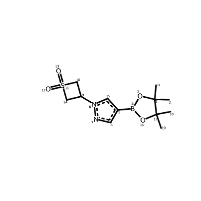 CC1(C)OB(c2cnn(C3CS(=O)(=O)C3)c2)OC1(C)C